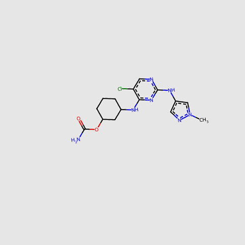 Cn1cc(Nc2ncc(Cl)c(NC3CCCC(OC(N)=O)C3)n2)cn1